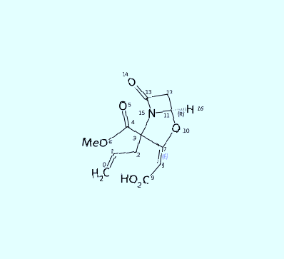 C=CCC1(C(=O)OC)/C(=C\C(=O)O)O[C@@H]2CC(=O)N21